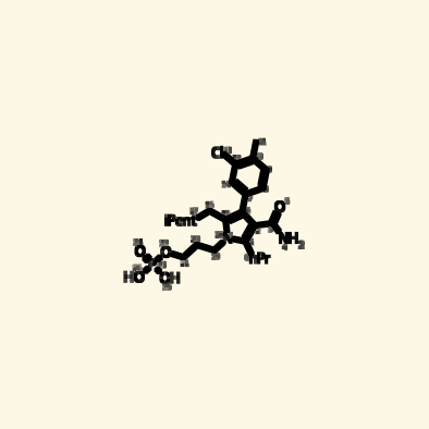 CCCc1c(C(N)=O)c(-c2ccc(C)c(Cl)c2)c(CC(C)CCC)n1CCCOP(=O)(O)O